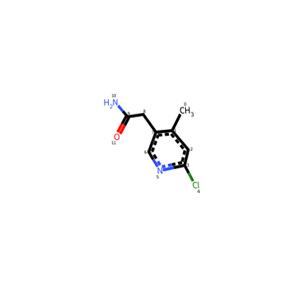 Cc1cc(Cl)ncc1CC(N)=O